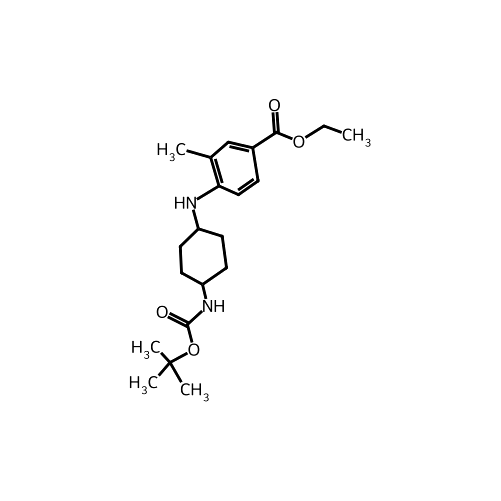 CCOC(=O)c1ccc(NC2CCC(NC(=O)OC(C)(C)C)CC2)c(C)c1